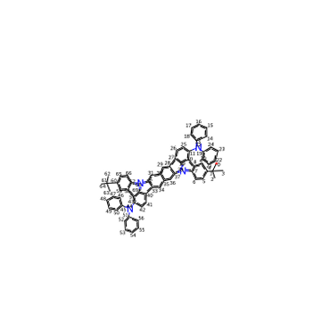 CC(C)(C)c1ccc2c(c1)c1c(N(c3ccccc3)c3ccccc3)ccc3c4cc5cc6c(cc5cc4n2c31)c1ccc(N(c2ccccc2)c2ccccc2)c2c3cc(C(C)(C)C)ccc3n6c12